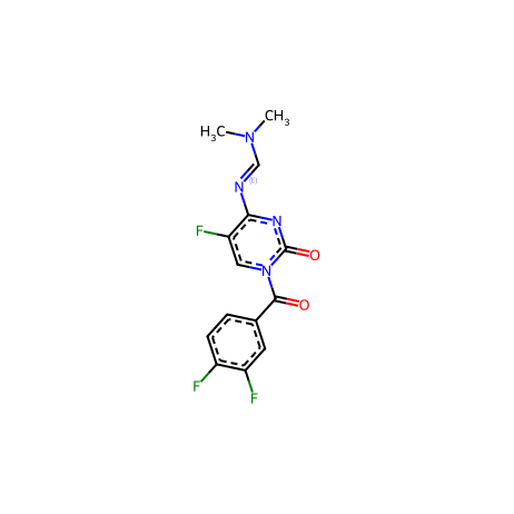 CN(C)/C=N/c1nc(=O)n(C(=O)c2ccc(F)c(F)c2)cc1F